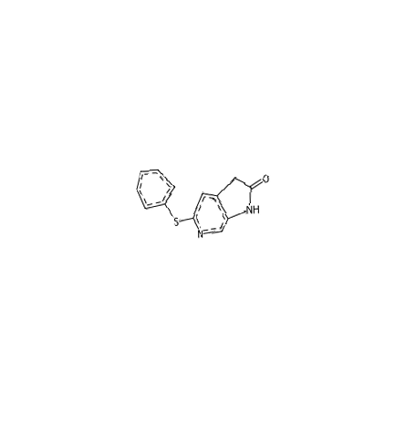 O=C1Cc2cc(Sc3ccccc3)ncc2N1